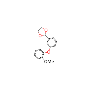 COc1ccccc1Oc1cccc(C2OCCO2)c1